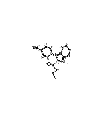 CCOC(=O)c1[nH]c2ccccc2c1-c1ccc(C#N)cc1